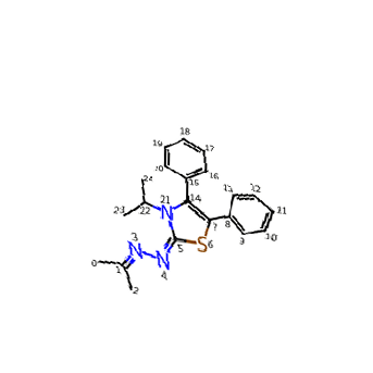 CC(C)=NN=c1sc(-c2ccccc2)c(-c2ccccc2)n1C(C)C